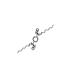 CCCCCC/C=C/N(N=O)c1ccc(N(/C=C/CCCCCC)N=O)cc1